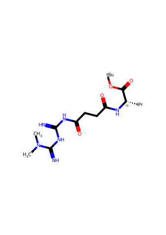 CC(C)[C@H](NC(=O)CCC(=O)NC(=N)NC(=N)N(C)C)C(=O)OC(C)(C)C